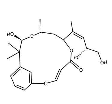 CC[C@H](/C=C(/C)C1C[C@@H](C)C[C@H](O)C(C)(C)c2cccc(c2)C/C=C/C(=O)O1)CO